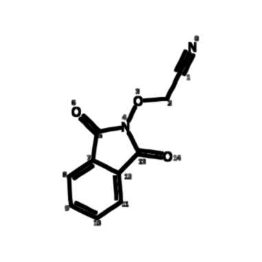 N#CCON1C(=O)c2ccccc2C1=O